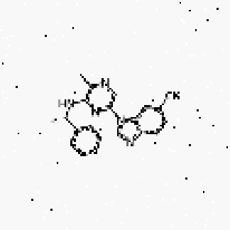 Cc1ncc(-n2cnc3ccc(C#N)cc32)nc1N[C@@H](C)c1ccccc1